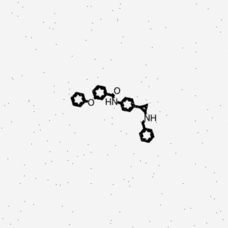 O=C(Nc1ccc(C2CC2NCc2ccccc2)cc1)c1cccc(Oc2ccccc2)c1